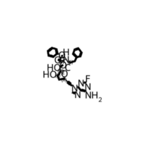 Nc1nc(F)nc2c1ncn2C#C[C@H]1C[C@H](O)[C@@H](CO[P@@](=O)(N[C@@H](Cc2ccccc2)C(=O)O)Oc2ccccc2)O1